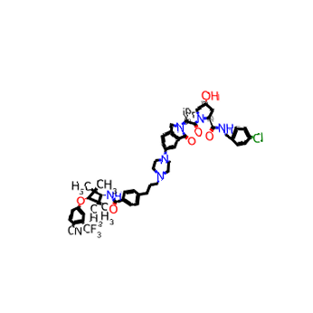 CC(C)[C@H](C(=O)N1C[C@H](O)C[C@H]1C(=O)NCc1ccc(Cl)cc1)N1Cc2ccc(N3CCN(CCCc4ccc(C(=O)N[C@H]5C(C)(C)[C@H](Oc6ccc(C#N)c(C(F)(F)F)c6)C5(C)C)cc4)CC3)cc2C1=O